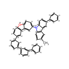 Cc1ccc2c(c1)c1cc(-c3ccccc3)ccc1n2-c1ccc2oc3ccc(-c4cccc(-c5cccc(-c6ccccc6)c5)c4)cc3c2c1